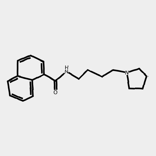 O=C(NCCCCN1C[CH]CC1)c1cccc2ccccc12